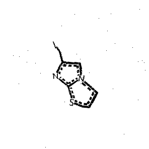 Ic1cn2ccsc2n1